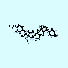 Cc1ncc(NC(=N)C2(C)CCN(c3nc4[nH]nc(-c5ccc(F)cc5)c4nc3CO)CC2)cc1F